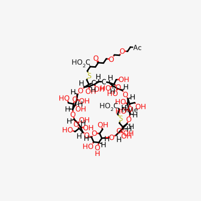 CN[C@H](CSCC1O[C@@H]2O[C@@H]3C(CO)O[C@H](O[C@@H]4C(CO)O[C@H](O[C@@H]5C(CO)O[C@H](O[C@@H]6C(CSC[C@@H](CC(=O)CCOCCOCCC(C)=O)C(=O)O)C[C@H](C[C@@H]7C(CO)O[C@H](O[C@@H]8C(CO)O[C@H](O[C@H]1[C@H](O)C2O)C(O)[C@H]8O)C(O)[C@H]7O)C(O)[C@H]6O)C(O)[C@H]5O)C(O)[C@H]4O)C(O)[C@H]3O)C(=O)O